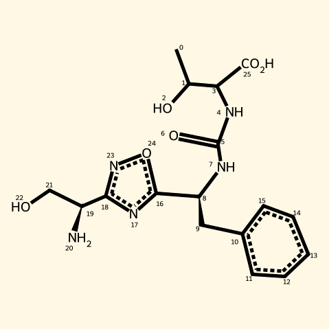 CC(O)C(NC(=O)N[C@@H](Cc1ccccc1)c1nc([C@@H](N)CO)no1)C(=O)O